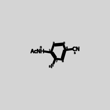 CC(=O)Nc1ccc(C#N)cc1F